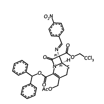 CC(=O)OCC1=C(C(=O)OC(c2ccccc2)c2ccccc2)N2C(=O)[C@@](N=Cc3ccc([N+](=O)[O-])cc3)(C(=O)OCC(Cl)(Cl)Cl)[C@H]2SC1